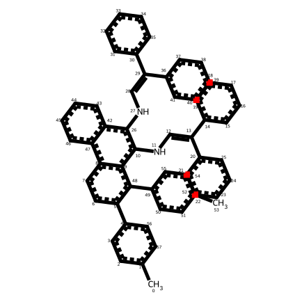 Cc1ccc(-c2ccc3c(c(NC=C(c4ccccc4)c4ccccc4)c(NC=C(c4ccccc4)c4ccccc4)c4ccccc43)c2-c2ccc(C)cc2)cc1